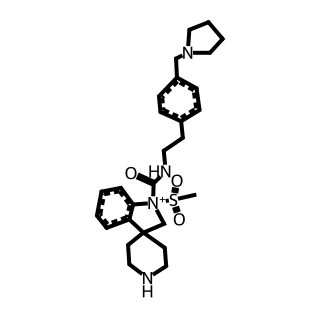 CS(=O)(=O)[N+]1(C(=O)NCCc2ccc(CN3CCCC3)cc2)CC2(CCNCC2)c2ccccc21